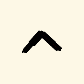 [Ar].[Ar].[Ar].[Ar].[Ar].[Ar].[Ar].[Ar].[Ar].[Ar].[Ar].[Ar].[Ar].[Ar].[Ar].[Ar].[Ar].[Ar].[Ar].[Ar].[Ar].[Ar].[Ar].[Ar].[Ar].[Ar].[Ar].[Ar].[Ar].[Ar].[Ar].[Ar].[Ar].[Ar].[Ar].[Ar].[Ar].[Ar].[Ar].[Ar].[Ne].[Ne].[Ne].[Ne].[Ne].[Ne].[Ne].[Ne].[Ne].[Ne].[Ne].[Ne].[Ne].[Ne].[Ne].[Ne].[Ne].[Ne].[Ne].[Ne].[Ne].[Ne].[Ne].[Ne].[Ne].[Ne].[Ne].[Ne].[Ne].[Ne].[Ne].[Ne].[Ne].[Ne].[Ne].[Ne].[Ne].[Ne].[Ne].[Ne].[Ne].[Ne].[Ne].[Ne].[Ne].[Ne].[Ne].[Ne].[Ne].[Ne].[Ne].[Ne].[Ne].[Ne].[Ne].[Ne].[Ne].[Ne].[Ne].[Ne]